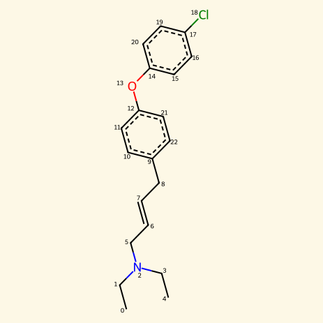 CCN(CC)CC=CCc1ccc(Oc2ccc(Cl)cc2)cc1